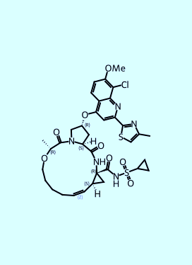 COc1ccc2c(O[C@@H]3C[C@H]4C(=O)N[C@]5(C(=O)NS(=O)(=O)C6CC6)C[C@H]5/C=C\CCCCO[C@H](C)C(=O)N4C3)cc(-c3nc(C)cs3)nc2c1Cl